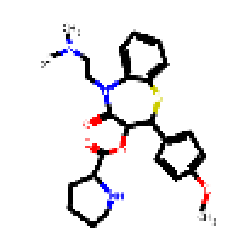 COc1ccc(C2Sc3ccccc3N(CCN(C)C)C(=O)C2OC(=O)C2CCCCN2)cc1